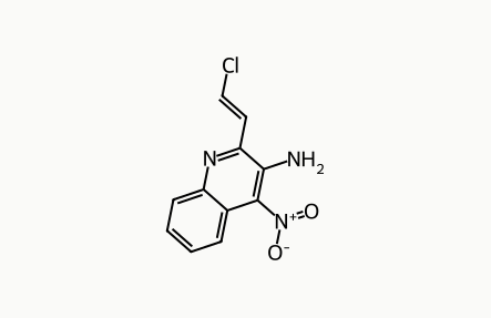 Nc1c(C=CCl)nc2ccccc2c1[N+](=O)[O-]